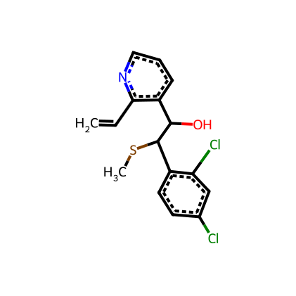 C=Cc1ncccc1C(O)C(SC)c1ccc(Cl)cc1Cl